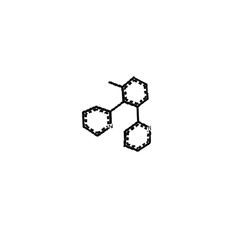 Cc1cccc(-c2ccccn2)c1-c1ccccn1